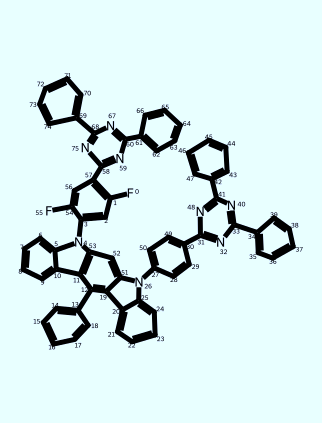 Fc1cc(-n2c3ccccc3c3c(-c4ccccc4)c4c5ccccc5n(-c5ccc(-c6nc(-c7ccccc7)nc(-c7ccccc7)n6)cc5)c4cc32)c(F)cc1-c1nc(-c2ccccc2)nc(-c2ccccc2)n1